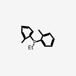 CCP(c1ccccc1C)c1ccccc1C